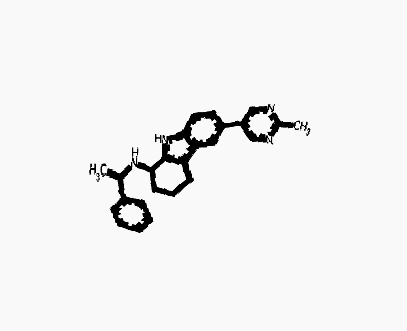 Cc1ncc(-c2ccc3[nH]c4c(c3c2)CCCC4NC(C)c2ccccc2)cn1